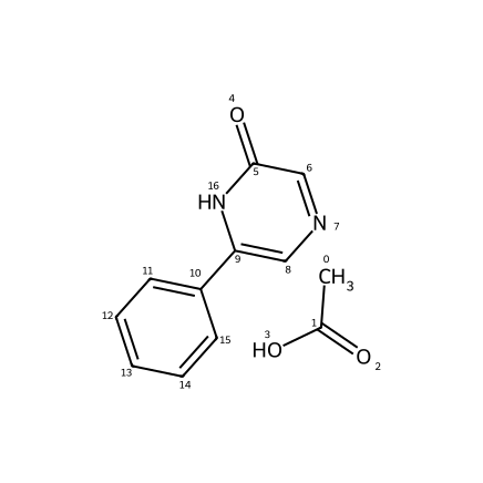 CC(=O)O.O=c1cncc(-c2ccccc2)[nH]1